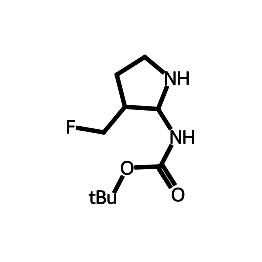 CC(C)(C)OC(=O)NC1NCCC1CF